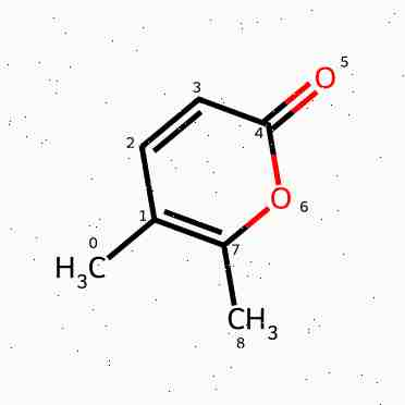 Cc1ccc(=O)oc1C